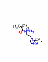 C=C(C)C(=O)N(N)CCN1CCNC1=C